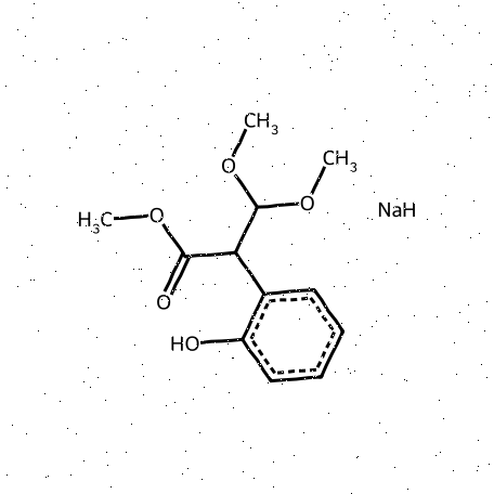 COC(=O)C(c1ccccc1O)C(OC)OC.[NaH]